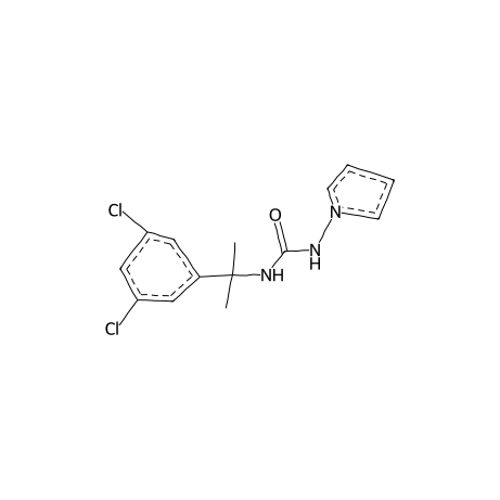 CC(C)(NC(=O)Nn1cccc1)c1cc(Cl)cc(Cl)c1